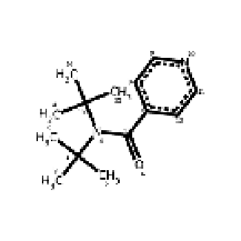 CC(C)(C)N(C(=O)c1ccncc1)C(C)(C)C